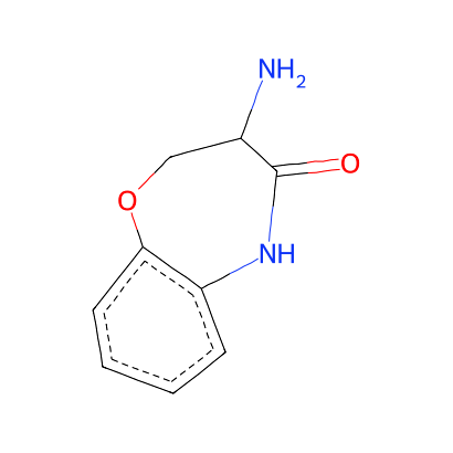 NC1COc2ccccc2NC1=O